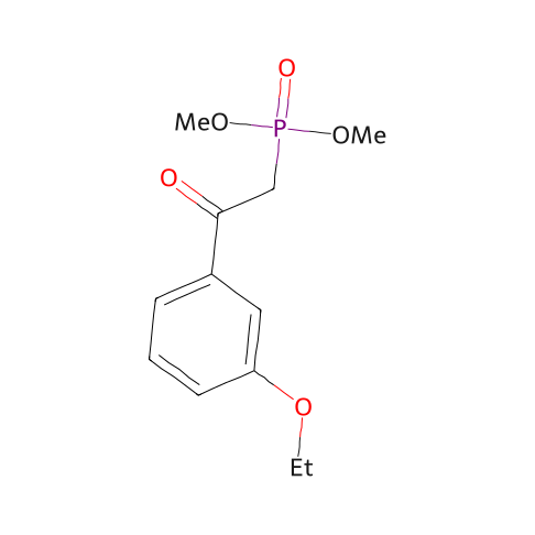 CCOc1cccc(C(=O)CP(=O)(OC)OC)c1